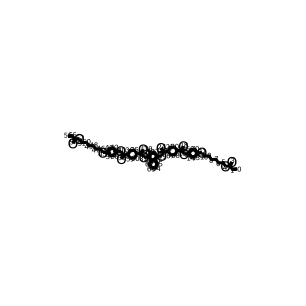 C=CC(=O)OCCCCCCOc1ccc(OC(=O)C2CCC(C(=O)Oc3cc(C)c(OC(=O)C4CCC(C(=O)Oc5ccc(OCCCCCCOC(=O)C=C)cc5)CC4)c4ccccc34)CC2)cc1